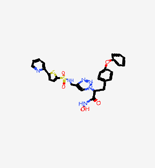 O=C(NO)C(Cc1ccc(Oc2ccccc2)cc1)n1cc(CNS(=O)(=O)c2ccc(-c3ccccn3)s2)nn1